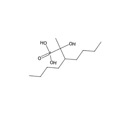 CCCCC(CCCC)C(C)(O)P(=O)(O)O